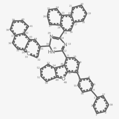 c1ccc(-c2ccc(-c3ccc(C4=NC(c5cc6ccccc6c6ccccc56)=NC(c5ccc6ccc7ccccc7c6c5)N4)c4c3oc3ccccc34)cc2)cc1